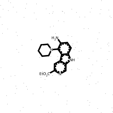 CCOC(=O)c1cc2c(cn1)[nH]c1ccc(N)c(N3CCCCC3)c12